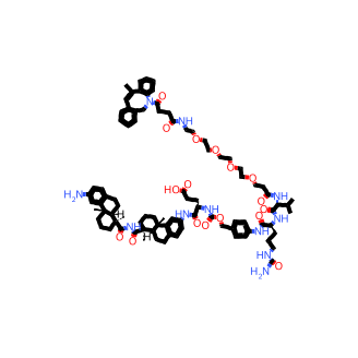 C/C1=C/c2ccccc2CN(C(=O)CCC(=O)NCCOCCOCCOCCOCCC(=O)N[C@H](C(=O)N[C@@H](CCCNC(N)=O)C(=O)Nc2ccc(COC(=O)N[C@@H](CCC(=O)O)C(=O)Nc3ccc4c(c3)[C@@]3(C)CCC[C@](C)(C(=O)NC(=O)[C@@]5(C)CCC[C@]6(C)c7cc(N)ccc7CC[C@@H]56)[C@@H]3CC4)cc2)C(C)C)c2ccccc21